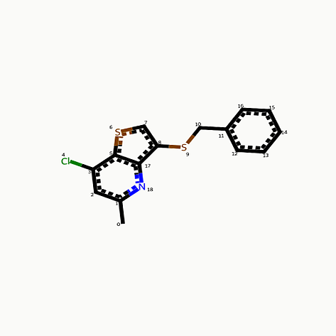 Cc1cc(Cl)c2scc(SCc3ccccc3)c2n1